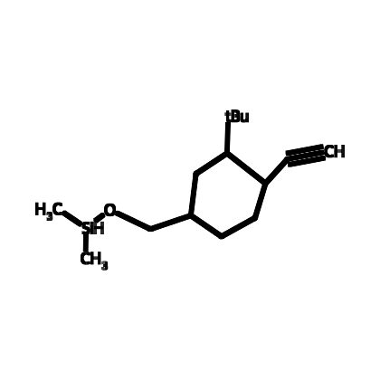 C#CC1CCC(CO[SiH](C)C)CC1C(C)(C)C